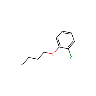 [CH2]CCCOc1ccccc1Cl